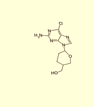 Nc1nc(Cl)c2ncn(C3CCC(CO)CO3)c2n1